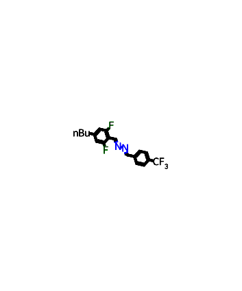 CCCCc1cc(F)c(C=NN=Cc2ccc(C(F)(F)F)cc2)c(F)c1